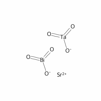 [O]=[Bi](=[O])[O-].[O]=[Ta](=[O])[O-].[Sr+2]